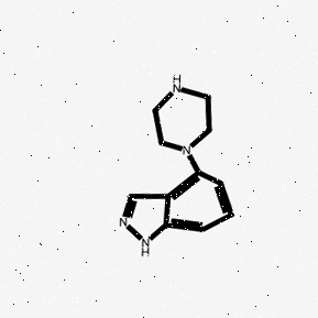 [c]1n[nH]c2cccc(N3CCNCC3)c12